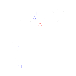 Nc1ccc(N2CCC(Cc3ccc(NC(=O)OCc4ccccc4)cc3)CC2)cc1